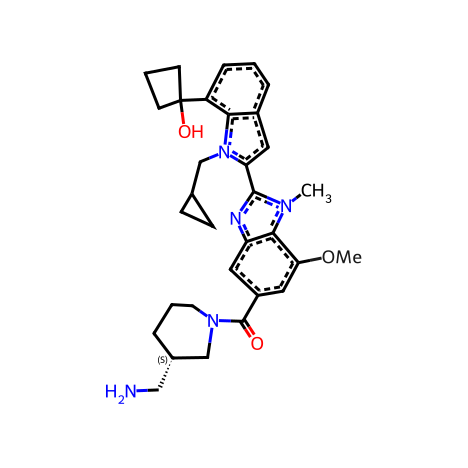 COc1cc(C(=O)N2CCC[C@@H](CN)C2)cc2nc(-c3cc4cccc(C5(O)CCC5)c4n3CC3CC3)n(C)c12